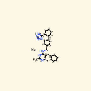 Cc1nc(C(F)(F)F)nc(NCc2ccc(-c3ccccc3-c3nnn[nH]3)cc2)c1Cc1ccccc1.[Na]